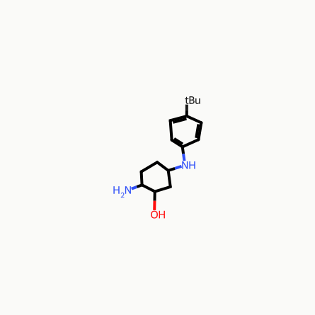 CC(C)(C)c1ccc(NC2CCC(N)C(O)C2)cc1